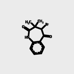 CC1(C)C(=O)Nc2ccccc2C(=O)C1Br